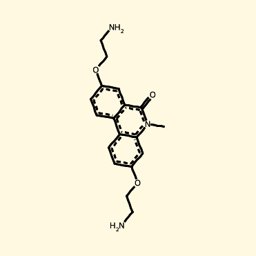 Cn1c(=O)c2cc(OCCN)ccc2c2ccc(OCCN)cc21